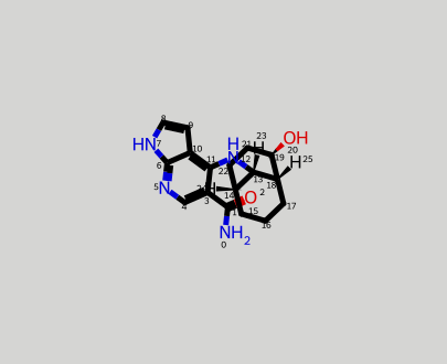 NC(=O)c1cnc2[nH]ccc2c1N[C@H]1[C@@H]2CCC[C@H]1[C@H](O)CC2